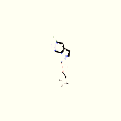 C[Si](C)(C)CCOCn1ccc2cc(Cl)ncc21